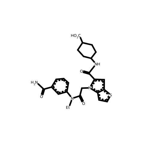 CCN(C(=O)Cn1c(C(=O)NC2CCC(C(=O)O)CC2)cc2sccc21)c1cccc(C(N)=O)c1